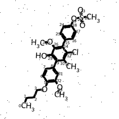 CCCCOc1ccc(-c2c(C)c(Cl)c(-c3ccc(OS(C)(=O)=O)cc3)c(OC)c2O)cc1OC